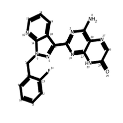 Nc1nc(-c2nn(Cc3ccccc3F)c3ncccc23)nc2[nH]c(=O)cnc12